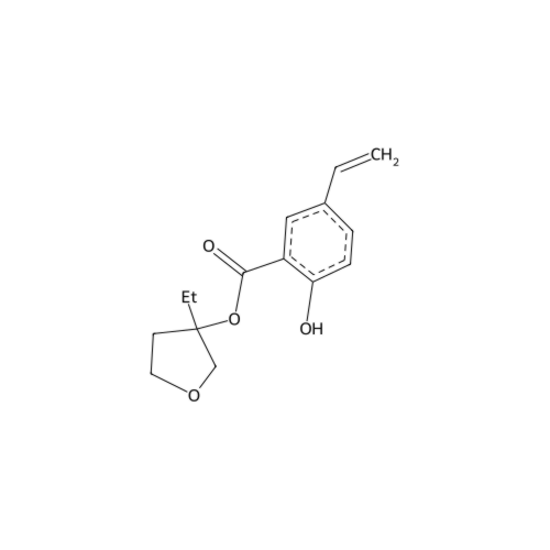 C=Cc1ccc(O)c(C(=O)OC2(CC)CCOC2)c1